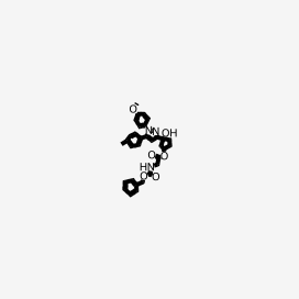 COc1ccc(-n2nc(C3(O)CCC(OC(=O)CNC(=O)OCc4ccccc4)C3)cc2-c2ccc(C)cc2)cc1